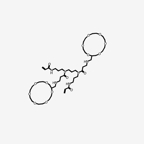 C=CC(=O)NCCCN(CCCN(CCCNC(=O)C=C)C(=O)CCNCC1COCCOCCOCCOCCOCCO1)C(=O)CCNCC1COCCOCCOCCOCCOCCO1